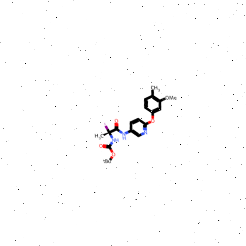 COc1cc(Oc2ccc(NC(=O)[C@@](C)(I)NC(=O)OC(C)(C)C)cn2)ccc1C